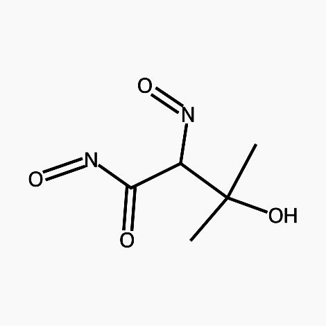 CC(C)(O)C(N=O)C(=O)N=O